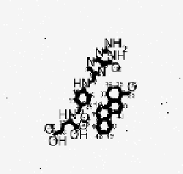 Nc1nc2ncc(CNc3ccc(C(=O)NC(CCC(=O)O)C(=O)O)cc3)nc2c(=O)[nH]1.O=CC1CCCc2c1ccc1c2ccc2ccccc21